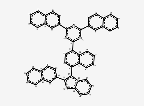 c1ccc2cc(-c3nc(-c4ccc5ccccc5c4)nc(-c4ccc(-c5c(-c6ccc7ccccc7c6)nc6ccccn56)c5ccccc45)n3)ccc2c1